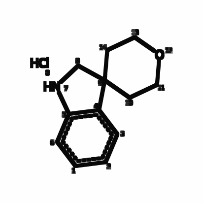 Cl.c1ccc2c(c1)NCC21CCOCC1